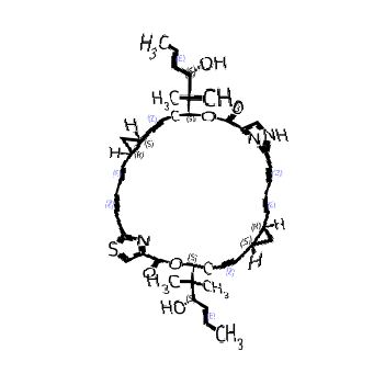 C/C=C/[C@H](O)C(C)(C)[C@@H]1C/C=C\[C@H]2C[C@H]2/C=C/C=C\c2nc(cs2)C(=O)O[C@H](C(C)(C)[C@@H](O)/C=C/C)C/C=C\[C@H]2C[C@H]2/C=C/C=C\c2nc(c[nH]2)C(=O)O1